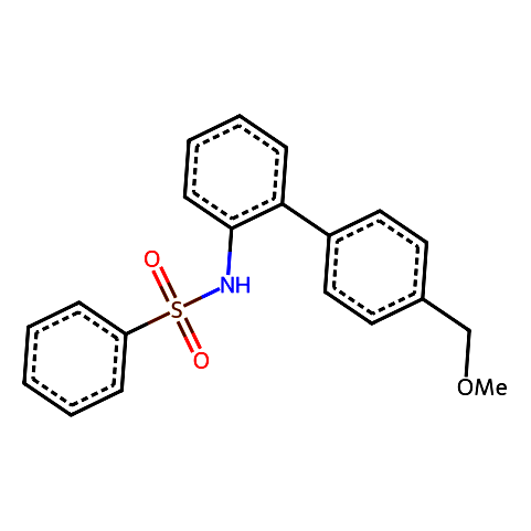 COCc1ccc(-c2ccccc2NS(=O)(=O)c2ccccc2)cc1